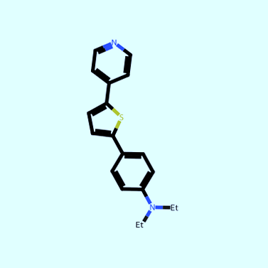 CCN(CC)c1ccc(-c2ccc(-c3ccncc3)s2)cc1